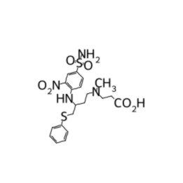 CN(CCC(=O)O)CCC(CSc1ccccc1)Nc1ccc(S(N)(=O)=O)cc1[N+](=O)[O-]